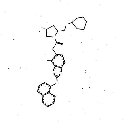 O=C(Cc1ccc2nc(Nc3cccc4ccccc34)oc2c1F)N1C[C@@H](F)C[C@H]1COC1CCCCC1